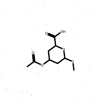 CSC1CC(OC(C)=O)CC(C(=O)O)O1